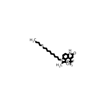 CCCCSCCCCCCCCCn1c(C)c(C)c2c3c(C(F)(F)F)cc(=O)[nH]c3ccc21